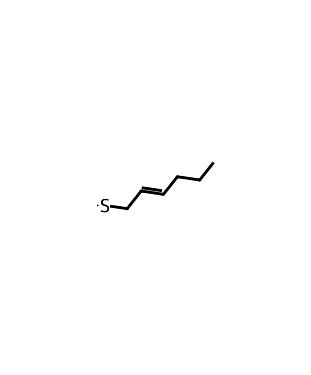 CCCC=CC[S]